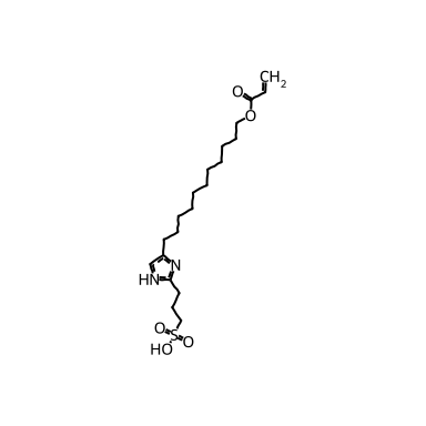 C=CC(=O)OCCCCCCCCCCCc1c[nH]c(CCCS(=O)(=O)O)n1